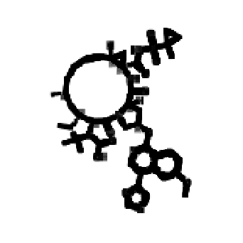 CC[C@@H]1C[C@H](C)CCC=C[C@@H]2C[C@@]2(C(=O)NS(=O)(=O)C2(C)CC2)NC(=O)[C@@H]2C[C@@H](Oc3ncc(-c4cnco4)c4cc(OC)ccc34)CN2C(=O)[C@H]1N(C(=O)O)C(C)(C)C